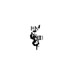 CCNCCn1ccc(-c2ccc(F)cn2)n1.Cl.Cl